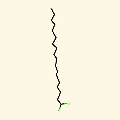 [CH2]CCCCCCCCCCCCCCCCC(Cl)Cl